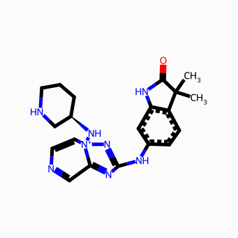 CC1(C)C(=O)Nc2cc(NC3=N[N+]4(N[C@@H]5CCCNC5)C=CN=CC4=N3)ccc21